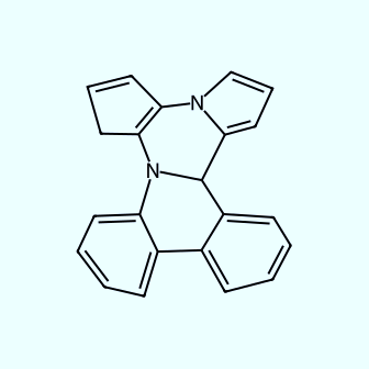 C1=CC2=C(C1)N1c3ccccc3-c3ccccc3C1c1cccn12